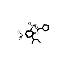 CCC(C)c1cc([N+](=O)[O-])cc([N+](=O)[O-])c1OC(=O)C1CCCC1